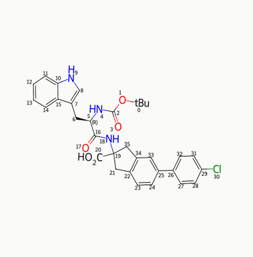 CC(C)(C)OC(=O)N[C@H](Cc1c[nH]c2ccccc12)C(=O)NC1(C(=O)O)Cc2ccc(-c3ccc(Cl)cc3)cc2C1